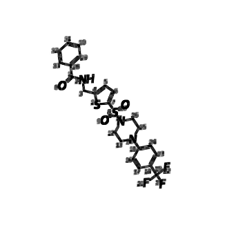 O=C(NCc1ccc(S(=O)(=O)N2CCN(c3ccc(C(F)(F)F)cc3)CC2)s1)c1ccccc1